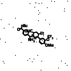 CCCCC(=O)c1ccc(C(N)N2N=C(c3ccc(OC)c(OC(F)(F)F)c3)C(CC)CC2C=O)cc1